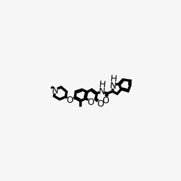 Cc1c(OC2CCN(C)CC2)ccc2cc(NC(=O)C3Cc4ccccc4N3)c(=O)oc12